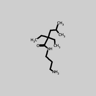 CCC(CC)(CC(C)C)C(=O)NCCCN